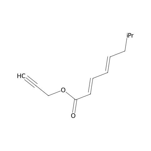 C#CCOC(=O)C=CC=CCC(C)C